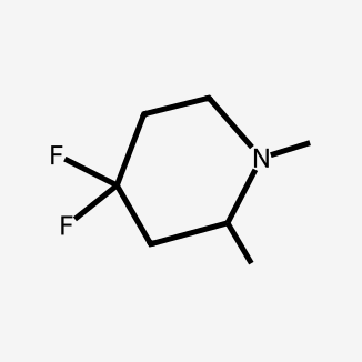 CC1CC(F)(F)CCN1C